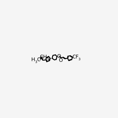 CN(C)Cc1ccc([C@H]2CC[C@@H](OC(=O)C=Cc3ccc(C(F)(F)F)cc3)CC2)cc1